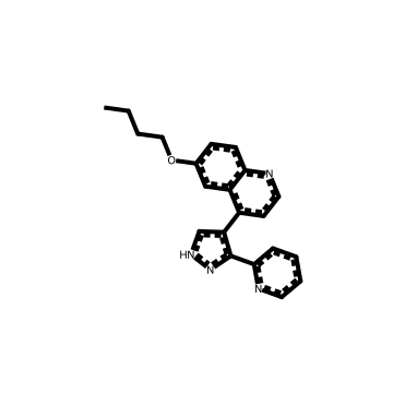 CCCCOc1ccc2nccc(-c3c[nH]nc3-c3ccccn3)c2c1